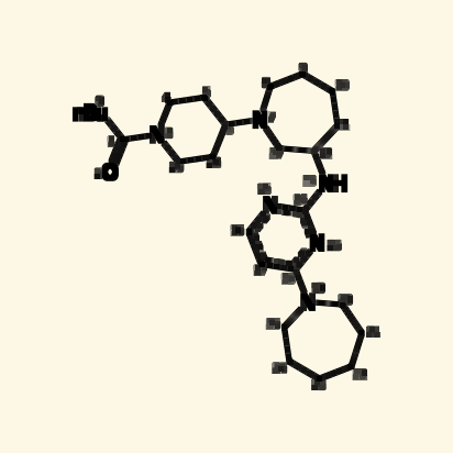 CCCCC(=O)N1CCC(N2CCCCC(Nc3nccc(N4CCCCCC4)n3)C2)CC1